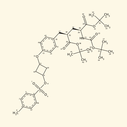 Cc1ccc(S(=O)(=O)OC2CC(Oc3ccc(C[C@@H](C[C@H](NC(=O)OC(C)(C)C)C(=O)OC(C)(C)C)C(=O)OC(C)(C)C)cc3)C2)cc1